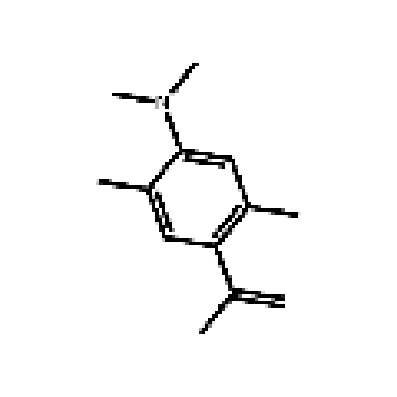 C=C(C)c1cc(C)c(N(C)C)cc1C